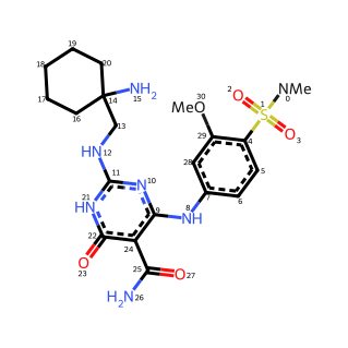 CNS(=O)(=O)c1ccc(Nc2nc(NCC3(N)CCCCC3)[nH]c(=O)c2C(N)=O)cc1OC